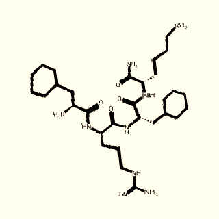 N=C(N)NCCC[C@@H](NC(=O)[C@@H](N)CC1CCCCC1)C(=O)N[C@@H](CC1CCCCC1)C(=O)N[C@@H](CCCCN)C(N)=O